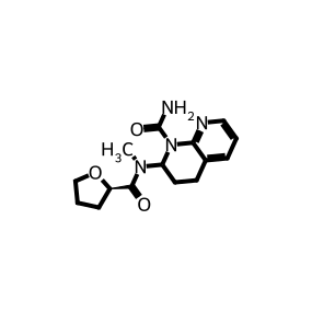 CN(C(=O)[C@H]1CCCO1)C1CCc2cccnc2N1C(N)=O